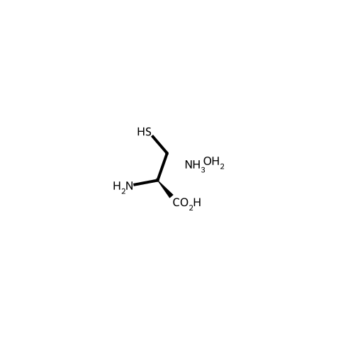 N.N[C@@H](CS)C(=O)O.O